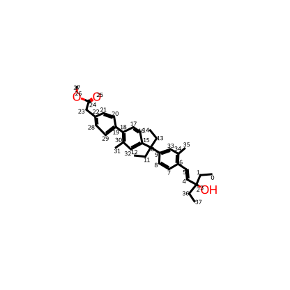 CCC(O)(/C=C/c1ccc(C(CC)(CC)c2ccc(-c3ccc(CC(=O)OC)cc3)c(C)c2)cc1C)CC